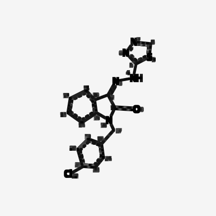 O=C1C(=NNc2nncs2)c2ccccc2N1Cc1ccc(Cl)cc1